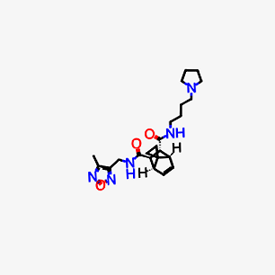 Cc1nonc1CNC(=O)[C@H]1[C@H](C(=O)NCCCCN2CCCC2)[C@H]2C=C[C@@H]1C21CC1